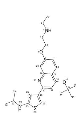 CCNCCOc1ccc2c(OC(C)(C)C)cc(-c3csc(NC(C)C)n3)nc2c1